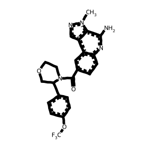 Cn1ncc2c3cc(C(=O)N4CCOCC4c4ccc(OC(F)(F)F)cc4)ccc3nc(N)c21